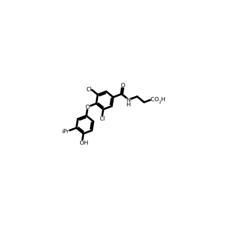 CC(C)c1cc(Oc2c(Cl)cc(C(=O)NCCC(=O)O)cc2Cl)ccc1O